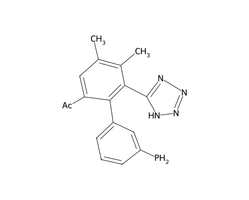 CC(=O)c1cc(C)c(C)c(-c2nnn[nH]2)c1-c1cccc(P)c1